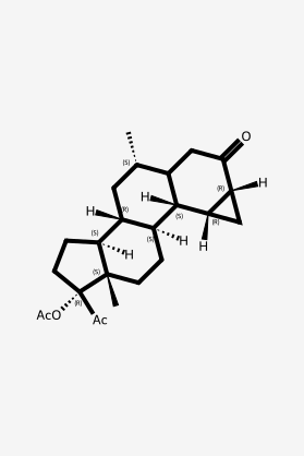 CC(=O)O[C@]1(C(C)=O)CC[C@H]2[C@@H]3C[C@H](C)C4CC(=O)[C@@H]5C[C@@H]5[C@@H]4[C@H]3CC[C@@]21C